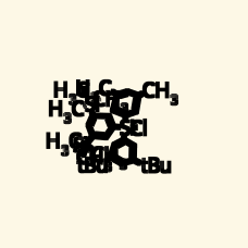 Cc1cc(C)cc([Si](Cl)(c2cc(C(C)(C)C)cc(C(C)(C)C)c2)c2cc([Si](C)(C)C)cc([Si](C)(C)C)c2)c1